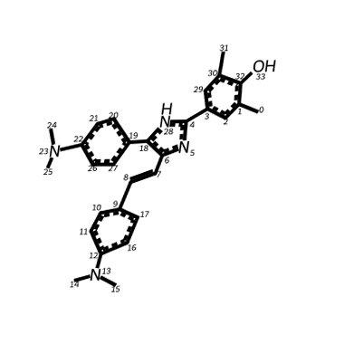 Cc1cc(-c2nc(/C=C/c3ccc(N(C)C)cc3)c(-c3ccc(N(C)C)cc3)[nH]2)cc(C)c1O